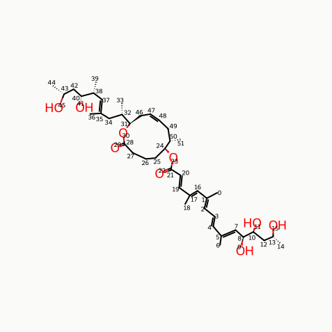 CC(=CC=CC(C)=C[C@H](O)[C@@H](O)C[C@@H](C)O)C=C(C)C=CC(=O)O[C@H]1CCCC(=O)O[C@@H]([C@@H](C)CC(C)=C[C@@H](C)[C@H](O)C[C@@H](C)O)CC=CC[C@@H]1C